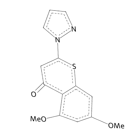 COc1cc(OC)c2c(=O)cc(-n3cccn3)sc2c1